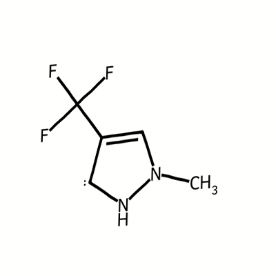 CN1C=C(C(F)(F)F)[C]N1